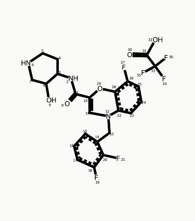 O=C(NC1CCNCC1O)C1=CN(Cc2cccc(F)c2F)c2cccc(F)c2O1.O=C(O)C(F)(F)F